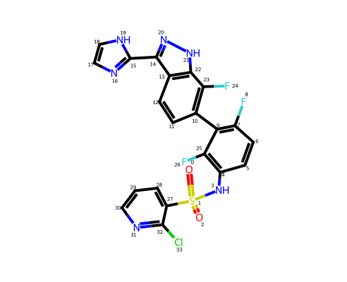 O=S(=O)(Nc1ccc(F)c(-c2ccc3c(-c4ncc[nH]4)n[nH]c3c2F)c1F)c1cccnc1Cl